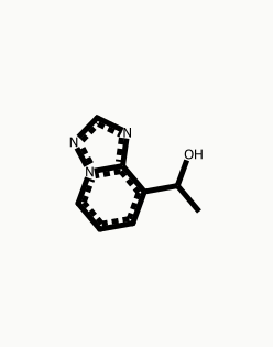 CC(O)c1cccn2ncnc12